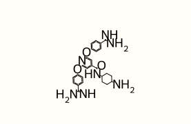 N=C(N)c1ccc(Oc2cc(C(=O)NC3CCC(N)CC3)cc(Oc3ccc(C(=N)N)cc3)n2)cc1